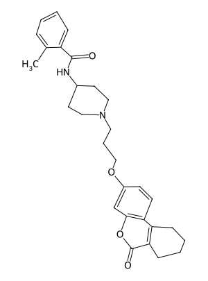 Cc1ccccc1C(=O)NC1CCN(CCCOc2ccc3c4c(c(=O)oc3c2)CCCC4)CC1